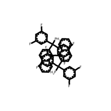 Fc1cc(F)cc(C(P)(c2cc(F)cc(F)c2)c2ccc3ccccc3c2-c2c(C(P)(c3cc(F)cc(F)c3)c3cc(F)cc(F)c3)ccc3ccccc23)c1